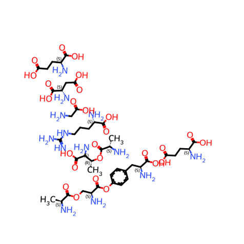 C[C@H](N)C(=O)OC[C@H](N)C(=O)Oc1ccc(C[C@H](N)C(=O)O)cc1.C[C@H](N)C(=O)O[C@H](C)[C@H](N)C(=O)O.N=C(N)NCCC[C@H](N)C(=O)O.NCC(=O)O.N[C@@H](CC(=O)O)C(=O)O.N[C@@H](CCC(=O)O)C(=O)O.N[C@@H](CCC(=O)O)C(=O)O